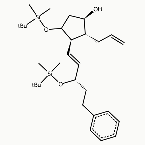 C=CC[C@H]1[C@H](O)CC(O[Si](C)(C)C(C)(C)C)[C@@H]1/C=C/[C@H](CCc1ccccc1)O[Si](C)(C)C(C)(C)C